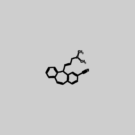 CN(C)CC=CC1c2ccccc2C=Cc2ccc(C#N)cc21